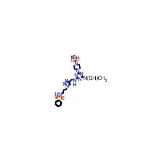 CN(O)c1nc(NCc2cn(CCCNS(=O)(=O)c3ccccc3)nn2)nc(N2CCN(C(=O)OC(C)(C)C)CC2)n1